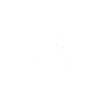 O=C(O)[C@@H]1CC(O)(c2ccc(-c3ccccc3)cc2)CN1C(=O)OCc1ccccc1